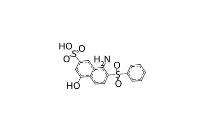 Nc1c(S(=O)(=O)c2ccccc2)ccc2c(O)cc(S(=O)(=O)O)cc12